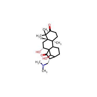 CN(C)C[C@@H]1C(=O)C23C(O)C1CCC2[C@]1(C)CCC(=O)C(C)(C)[C@H]1C[C@H]3O